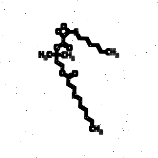 CCCCCCSCCC(=O)OCCC(C)(C)OC(=O)C1OOC1SCCCCCC